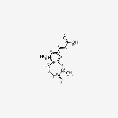 CN1Cc2cc(C=CC(=O)O)cnc2NCCC1=O.Cl